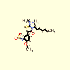 CCCCCCC(C)N(C(=O)Cc1ccc(OCC)c(N=S(=O)=O)c1)C(=S)NC